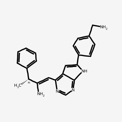 C[C@@H](C(N)=Cc1ncnc2[nH]c(-c3ccc(CN)cc3)cc12)c1ccccc1